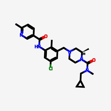 Cc1ccc(C(=O)Nc2cc(Cl)cc(CN3CCN(C(=O)N(C)CC4CC4)[C@@H](C)C3)c2C)cn1